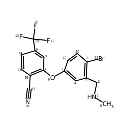 CNCc1cc(Oc2cc(C(F)(F)F)ccc2C#N)ccc1Br